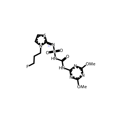 COc1nc(NC(=O)NS(=O)(=O)/N=c2/sccn2CCCF)nc(OC)n1